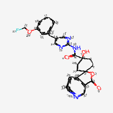 O=C1OC2(CCC(O)(C(=O)Nc3ncc(-c4cccc(OCF)c4)cn3)CC2)c2ccncc21